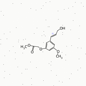 COC(=O)COc1cc(/C=C/CO)cc(OC)c1